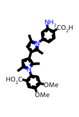 COc1cc(C(=O)O)c(-n2c(C)cc(-c3cc(C)n(-c4ccc(C(=O)O)c(N)c4)c3C)c2C)cc1OC